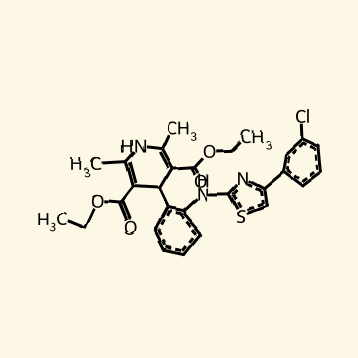 CCOC(=O)C1=C(C)NC(C)=C(C(=O)OCC)C1c1ccccc1Nc1nc(-c2cccc(Cl)c2)cs1